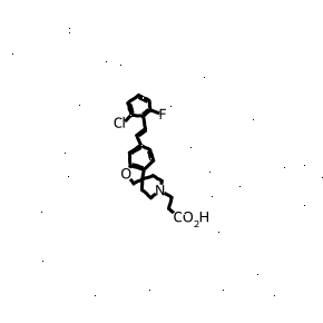 O=C(O)CCN1CCC2(CC1)COc1cc(/C=C/c3c(F)cccc3Cl)ccc12